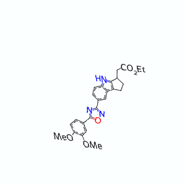 CCOC(=O)CC1CCc2c1[nH]c1ccc(-c3noc(-c4ccc(OC)c(OC)c4)n3)cc21